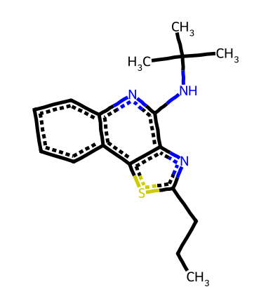 CCCc1nc2c(NC(C)(C)C)nc3ccccc3c2s1